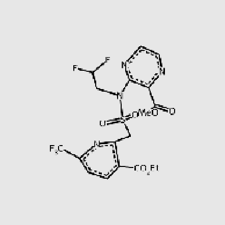 CCOC(=O)c1ccc(C(F)(F)F)nc1CS(=O)(=O)N(CC(F)F)c1nccnc1C(=O)OC